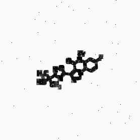 CC(C)n1c(=O)c2c(-c3nc(C(C)(C)O)no3)ncn2c2ccc(F)cc21